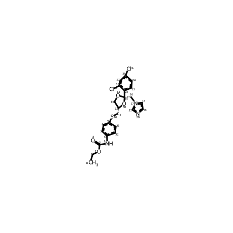 CCOC(=O)Nc1ccc(SC[C@@H]2CO[C@@](Cn3ccnc3)(c3ccc(Cl)cc3Cl)O2)cc1